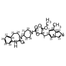 COC(=O)[C@@H](Cc1cc(C)c2cncn2c1)OC(=O)N1CCC(N2CCc3ccccc3NC2=O)CC1